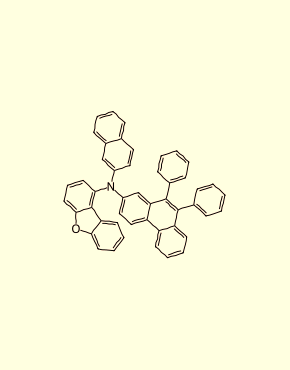 c1ccc(-c2c(-c3ccccc3)c3cc(N(c4ccc5ccccc5c4)c4cccc5oc6ccccc6c45)ccc3c3ccccc23)cc1